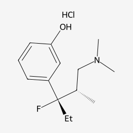 CC[C@@](F)(c1cccc(O)c1)[C@@H](C)CN(C)C.Cl